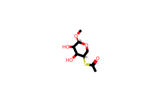 CO[C@H]1OC[C@@H](SC(C)=O)C(O)C1O